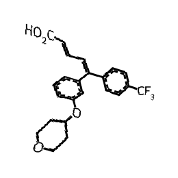 O=C(O)C=CC=C(c1ccc(C(F)(F)F)cc1)c1cccc(OC2CCOCC2)c1